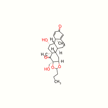 CCCC1O[C@@H]2C[C@H]3[C@@H]4CCC5=CC(=O)C=C[C@]5(C)[C@H]4[C@@H](O)C[C@]3(C)C(=O)[C@]2(CO)O1